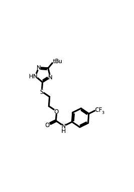 CC(C)(C)c1n[nH]c(SCCOC(=O)Nc2ccc(C(F)(F)F)cc2)n1